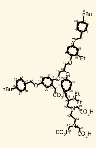 CCCCc1ccc(COc2ccc(OCC(COc3ccc(OCc4ccc(CCCC)cc4)cc3CC(=O)O)Oc3ccc(CC(CN(CCN(CC(=O)O)CC(=O)O)CC(=O)O)N(CC)CC)cc3)c(CC)c2)cc1